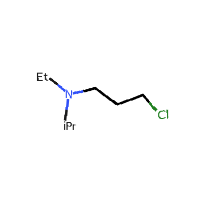 CCN(CCCCl)C(C)C